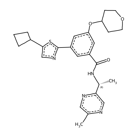 Cc1cnc([C@@H](C)NC(=O)c2cc(OC3CCOCC3)cc(-c3ncc(C4CCC4)s3)c2)cn1